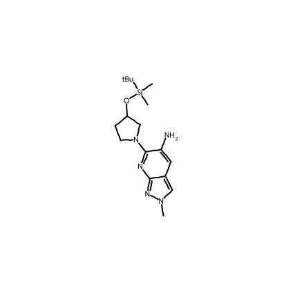 Cn1cc2cc(N)c(N3CCC(O[Si](C)(C)C(C)(C)C)C3)nc2n1